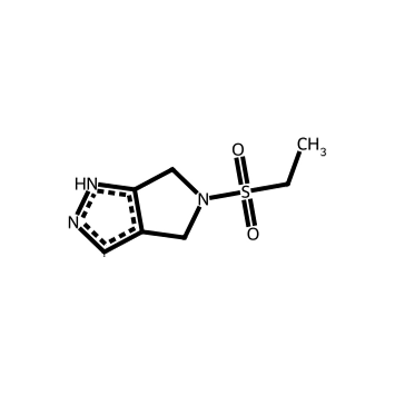 CCS(=O)(=O)N1Cc2[c]n[nH]c2C1